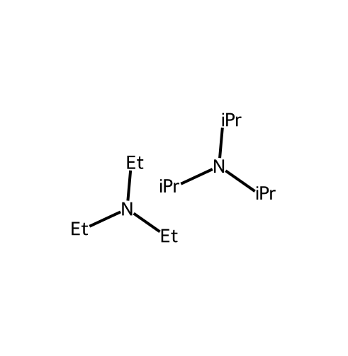 CC(C)N(C(C)C)C(C)C.CCN(CC)CC